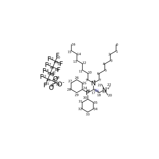 CCCCCCCCN(CCCCCCCC)/C(=C\[N+](C)(C)C)P(C1CCCCC1)C1CCCCC1.O=S(=O)([O-])C(F)(F)C(F)(F)C(F)(F)C(F)(F)F